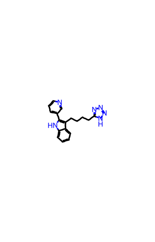 c1cncc(-c2[nH]c3ccccc3c2CCCCc2nnn[nH]2)c1